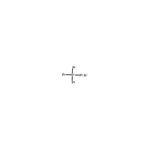 CC(C)[N+](C(C)C)(C(C)C)C(C)C.[Br-]